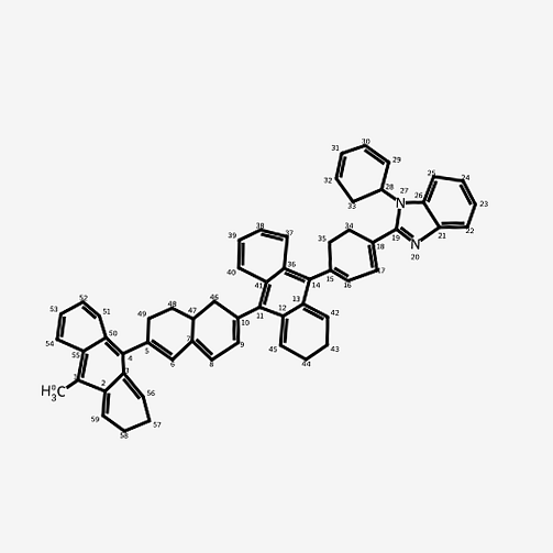 Cc1c2c(c(C3=CC4=CC=C(c5c6c(c(C7=CC=C(c8nc9ccccc9n8C8C=CC=CC8)CC7)c7ccccc57)=CCCC=6)CC4CC3)c3ccccc13)=CCCC=2